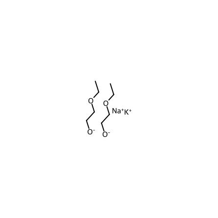 CCOCC[O-].CCOCC[O-].[K+].[Na+]